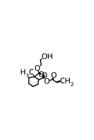 C=CC(=O)OC(=O)C1CCCCC1(C)C(=O)OCCO